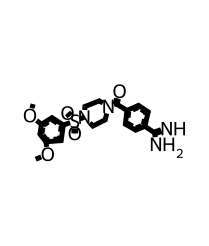 COc1cc(OC)cc(S(=O)(=O)N2CCN(C(=O)c3ccc(C(=N)N)cc3)CC2)c1